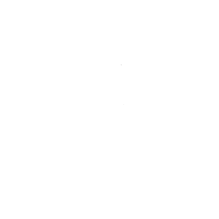 CC(=O)NC(CSSCCC(=O)OC1CCCCCC[C@@H](C)C1)C(=O)O